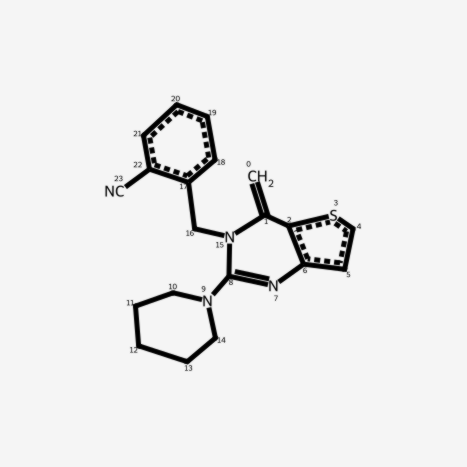 C=C1c2sccc2N=C(N2CCCCC2)N1Cc1ccccc1C#N